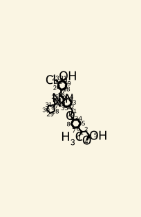 CC(CC(=O)O)c1ccc(OCc2cnc3c(-c4ccc(O)c(Cl)c4)nn(C4CCCC4)c3c2)cc1